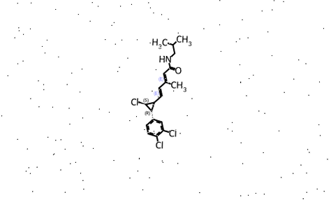 CC(/C=C/C1[C@H](Cl)[C@H]1c1ccc(Cl)c(Cl)c1)=C\C(=O)NCC(C)C